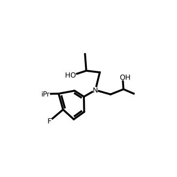 CC(O)CN(CC(C)O)c1ccc(F)c(C(C)C)c1